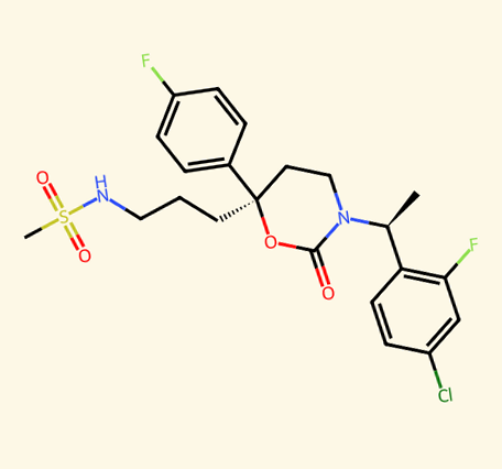 C[C@@H](c1ccc(Cl)cc1F)N1CC[C@](CCCNS(C)(=O)=O)(c2ccc(F)cc2)OC1=O